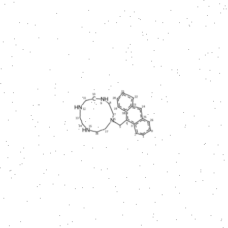 c1ccc2c(CN3CCNCCNCCNCC3)c3ccccc3cc2c1